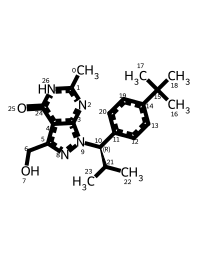 Cc1nc2c(c(CO)nn2[C@@H](c2ccc(C(C)(C)C)cc2)C(C)C)c(=O)[nH]1